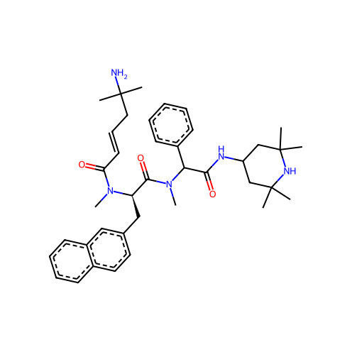 CN(C(=O)[C@@H](Cc1ccc2ccccc2c1)N(C)C(=O)/C=C/CC(C)(C)N)C(C(=O)NC1CC(C)(C)NC(C)(C)C1)c1ccccc1